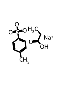 CCC(=O)O.Cc1ccc(S(=O)(=O)[O-])cc1.[Na+]